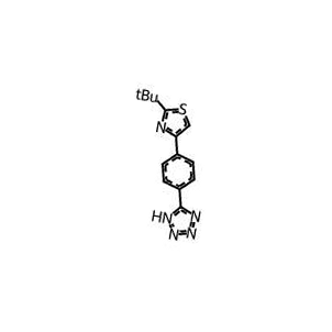 CC(C)(C)c1nc(-c2ccc(-c3nnn[nH]3)cc2)cs1